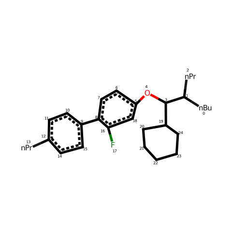 CCCCC(CCC)C(Oc1ccc(-c2ccc(CCC)cc2)c(F)c1)C1CCCCC1